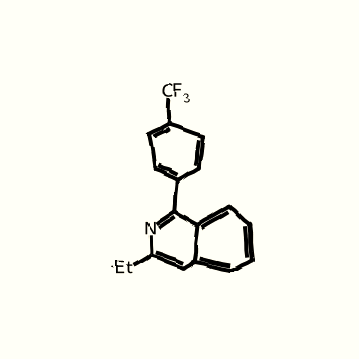 C[CH]c1cc2ccccc2c(-c2ccc(C(F)(F)F)cc2)n1